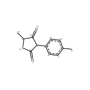 Cc1ccc(C2C(=O)SC(C)C2=O)cc1